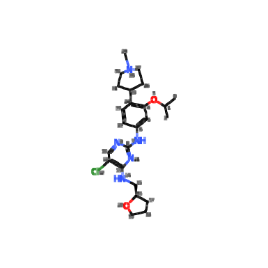 CC(C)Oc1cc(Nc2ncc(Cl)c(NC[C@H]3CCCO3)n2)ccc1C1CCN(C)CC1